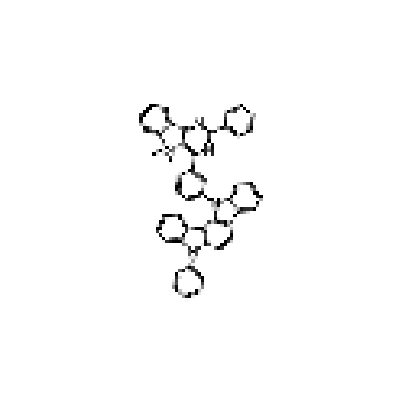 C[Si]1(C)c2ccccc2-c2nc(-c3ccccc3)nc(-c3cccc(-n4c5ccccc5c5ccc6c(c7ccccc7n6-c6ccccc6)c54)c3)c21